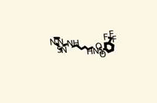 O=S(=O)(NCCCCCCNc1nsc2nccn12)c1cccc(C(F)(F)F)c1